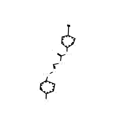 N#Cc1ccc(NC(=O)NC=NNc2ccc(Cl)cc2)cc1